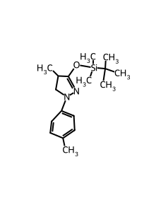 Cc1ccc(N2CC(C)C(O[Si](C)(C)C(C)(C)C)=N2)cc1